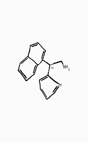 NC[C@@H](c1ccccn1)c1cccc2ccccc12